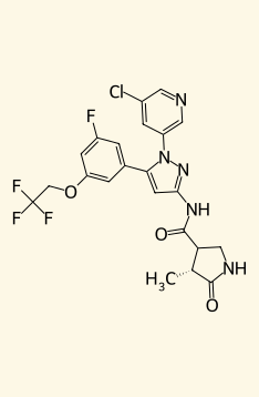 C[C@H]1C(=O)NCC1C(=O)Nc1cc(-c2cc(F)cc(OCC(F)(F)F)c2)n(-c2cncc(Cl)c2)n1